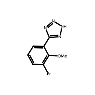 COc1c(Br)cccc1-c1nn[nH]n1